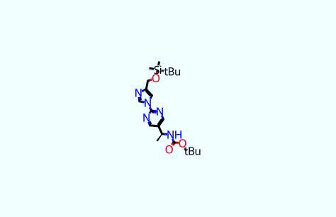 C[C@H](NC(=O)OC(C)(C)C)c1cnc(-n2cnc(CO[Si](C)(C)C(C)(C)C)c2)nc1